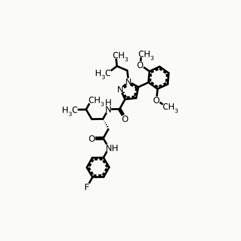 COc1cccc(OC)c1-c1cc(C(=O)N[C@H](CC(=O)Nc2ccc(F)cc2)CC(C)C)nn1CC(C)C